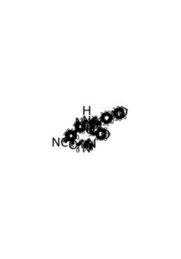 C[C@@H](Cn1cncn1)Oc1cc(-c2cnc(Nc3cn([C@H]4CC[C@H](N5CCOCC5)CC4)nc3OCC3CCOCC3)nc2)ccc1C#N